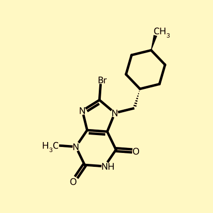 Cn1c(=O)[nH]c(=O)c2c1nc(Br)n2C[C@H]1CC[C@H](C)CC1